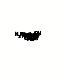 CC(C)[C@]1(COP(=O)(O)OP(=O)(O)OP(=O)(O)O)O[C@@H](n2ccc(N)nc2=O)[C@H](F)[C@@H]1O